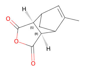 CC1=CC2CC1[C@H]1C(=O)OC(=O)[C@@H]21